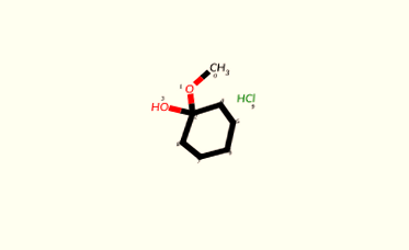 COC1(O)CCCCC1.Cl